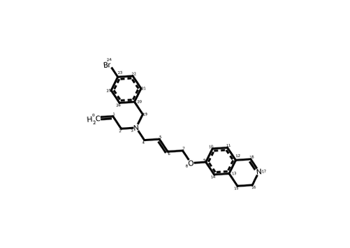 C=CCN(CC=CCOc1ccc2c(c1)CCN=C2)Cc1ccc(Br)cc1